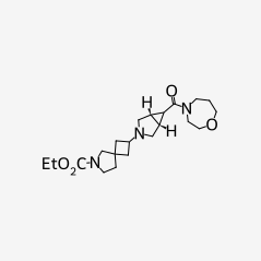 CCOC(=O)N1CCC2(CC(N3C[C@@H]4C(C(=O)N5CCCOCC5)[C@@H]4C3)C2)C1